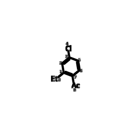 CCc1cc(Cl)ccc1C(C)=O